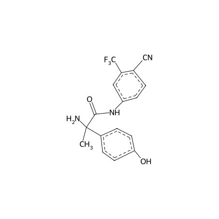 CC(N)(C(=O)Nc1ccc(C#N)c(C(F)(F)F)c1)c1ccc(O)cc1